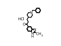 Cc1nc2cc(C(=O)CCC3CCN(Cc4ccccc4)CC3)ccc2[nH]1.Cl